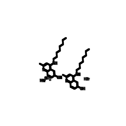 Br.Br.CCCCCCCCNc1cc(C)nc2ccc(O)cc12.CCCCCCCCNc1cc(C)nc2ccc(O)cc12.O